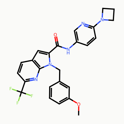 COc1cccc(Cn2c(C(=O)Nc3ccc(N4CCC4)nc3)cc3ccc(C(F)(F)F)nc32)c1